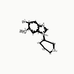 COc1cc2c(cc1Br)ncn2C1CCCOC1